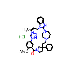 CC=CCn1c(N2CCCN(CCC3(c4ccccc4)CCN(C(=O)c4cc(-n5cnnn5)ccc4OC)C3)CC2)nc2ccccc21.Cl